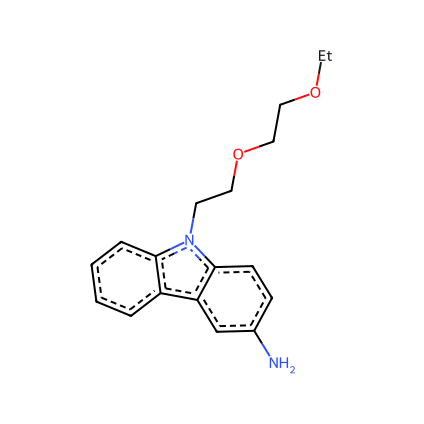 CCOCCOCCn1c2ccccc2c2cc(N)ccc21